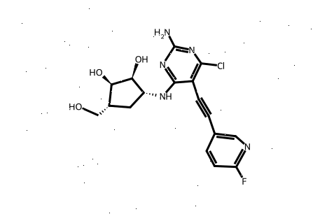 Nc1nc(Cl)c(C#Cc2ccc(F)nc2)c(N[C@@H]2C[C@H](CO)[C@@H](O)[C@H]2O)n1